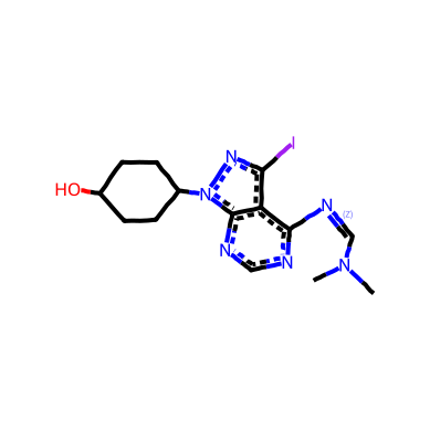 CN(C)/C=N\c1ncnc2c1c(I)nn2C1CCC(O)CC1